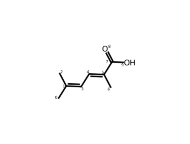 CC(C)=C/C=C(\C)C(=O)O